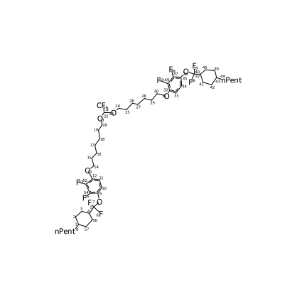 CCCCCC1CCC(C(F)(F)Oc2ccc(OCCCCCCCOC(OCCCCCCCOc3ccc(OC(F)(F)C4CCC(CCCCC)CC4)c(F)c3F)C(F)(F)F)c(F)c2F)CC1